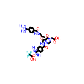 CC(=O)[C@]1(CCCNC(=O)c2ccc(C(=N)N)cc2)C(=O)N(CC(=O)O)CCN1NC(=O)c1ccc(C(=N)N)cc1.O=C(O)C(F)(F)F